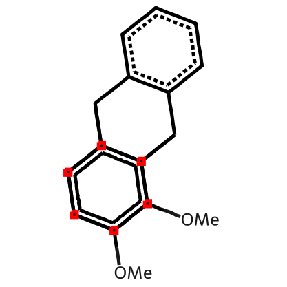 COc1ccc2c(c1OC)C1c3ccccc3C2c2ccccc21